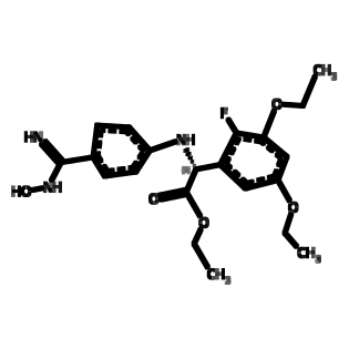 CCOC(=O)[C@H](Nc1ccc(C(=N)NO)cc1)c1cc(OCC)cc(OCC)c1F